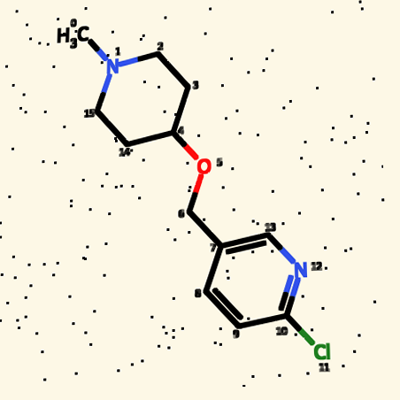 CN1CCC(OCc2ccc(Cl)nc2)CC1